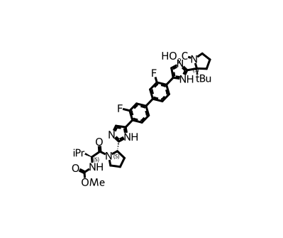 COC(=O)N[C@H](C(=O)N1CCC[C@H]1c1ncc(-c2ccc(-c3ccc(-c4cnc([C@@]5(C(C)(C)C)CCCN5C(=O)O)[nH]4)c(F)c3)cc2F)[nH]1)C(C)C